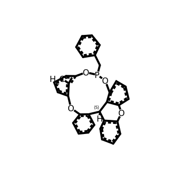 Cc1c2cccc1OP(Cc1ccccc1)Oc1cccc3c1[C@@H](c1ccccc1O2)c1ccccc1O3